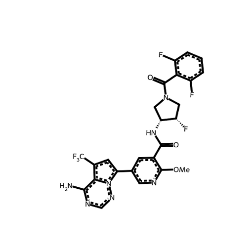 COc1ncc(-c2cc(C(F)(F)F)c3c(N)ncnn23)cc1C(=O)N[C@@H]1CN(C(=O)c2c(F)cccc2F)C[C@@H]1F